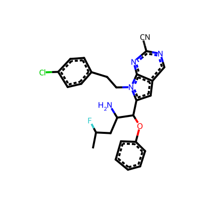 CC(F)CC(N)C(Oc1ccccc1)c1cc2cnc(C#N)nc2n1CCc1ccc(Cl)cc1